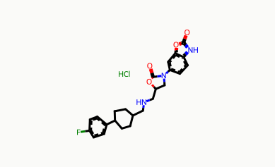 Cl.O=C1OC(CNCC2CCC(c3ccc(F)cc3)CC2)CN1c1ccc2[nH]c(=O)oc2c1